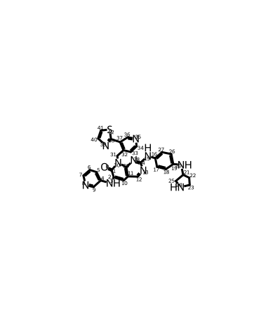 O=c1c(Nc2cccnc2)cc2cnc(Nc3ccc(NC4CCNC4)cc3)nc2n1Cc1ccncc1-c1nccs1